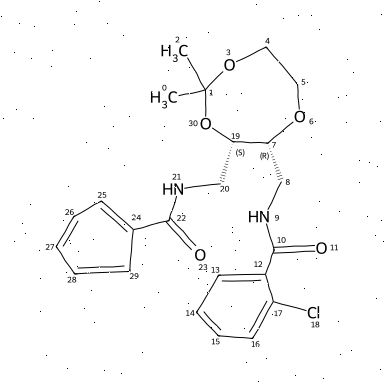 CC1(C)OCCO[C@H](CNC(=O)c2ccccc2Cl)[C@H](CNC(=O)c2ccccc2)O1